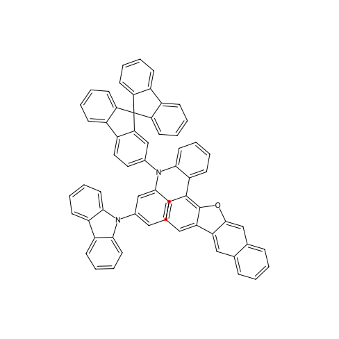 c1cc(N(c2ccc3c(c2)C2(c4ccccc4-c4ccccc42)c2ccccc2-3)c2ccccc2-c2cccc3c2oc2cc4ccccc4cc23)cc(-n2c3ccccc3c3ccccc32)c1